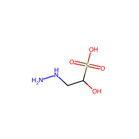 NNCC(O)S(=O)(=O)O